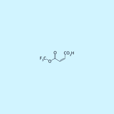 O=C(O)/C=C\C(=O)OC(F)(F)F